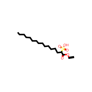 C=COC(=O)C(CCCCCCCCCCCCCC)S(=O)(=O)O